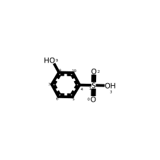 O=S(=O)(O)c1cccc(O)c1